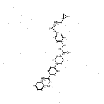 CC1CN(c2ccc(C(=O)Nc3ccccc3N)cn2)CCN1C(=O)OCc1ccc(C2CC2NCC2CC2)cc1